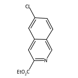 CCOC(=O)c1cc2cc(Cl)ccc2cn1